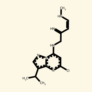 CN/C=C\C(=N)CNc1cc(Cl)nc2c(C(C)C)cnn12